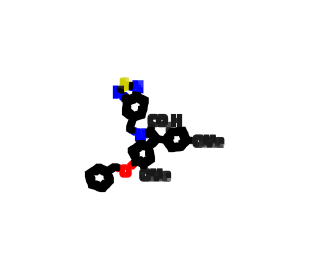 COc1ccc(-c2c(C(=O)O)n(Cc3ccc4nsnc4c3)c3cc(OCc4ccccc4)c(OC)cc23)cc1